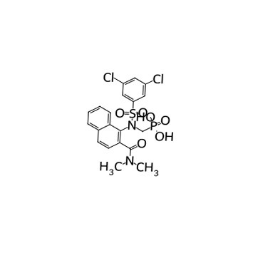 CN(C)C(=O)c1ccc2ccccc2c1N(CP(=O)(O)O)S(=O)(=O)c1cc(Cl)cc(Cl)c1